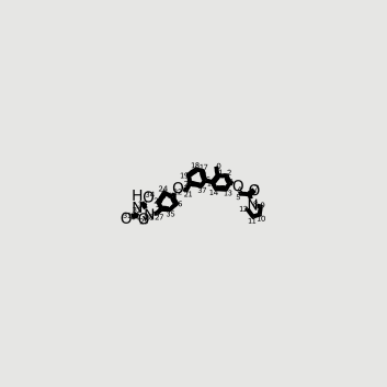 Cc1cc(OCC(=O)N2CCCC2)ccc1-c1cccc(COc2ccc(Cn3oc(=O)[nH]c3=O)cc2)c1